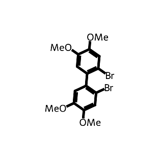 COc1cc(Br)c(-c2cc(OC)c(OC)cc2Br)cc1OC